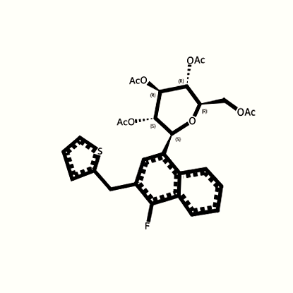 CC(=O)OC[C@H]1O[C@@H](c2cc(Cc3cccs3)c(F)c3ccccc23)[C@H](OC(C)=O)[C@@H](OC(C)=O)[C@@H]1OC(C)=O